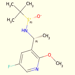 COc1ncc(F)cc1[C@@H](C)N[S@@+]([O-])C(C)(C)C